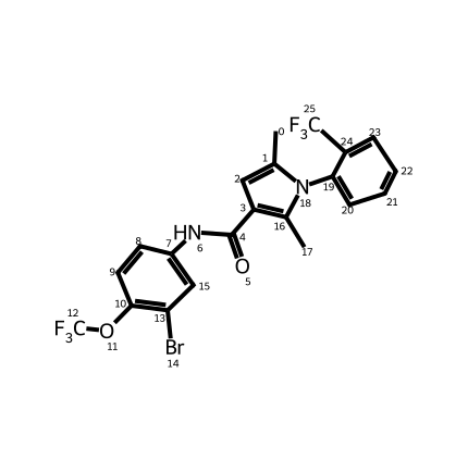 Cc1cc(C(=O)Nc2ccc(OC(F)(F)F)c(Br)c2)c(C)n1-c1ccccc1C(F)(F)F